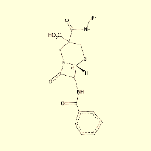 CC(C)NC(=O)C1(C(=O)O)CS[C@@H]2C(NC(=O)c3ccccc3)C(=O)N2C1